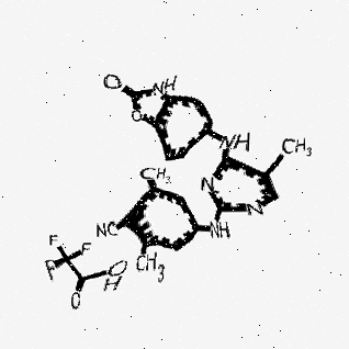 Cc1cnc(Nc2cc(C)c(C#N)c(C)c2)nc1Nc1ccc2oc(=O)[nH]c2c1.O=C(O)C(F)(F)F